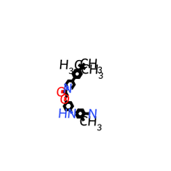 Cc1cc(NC2CCC(OCC(=O)N3CCC(c4ccc(C(C)(C)C)cc4)CC3)CC2)ccc1C#N